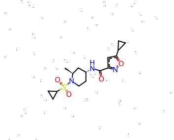 C[C@H]1C[C@H](NC(=O)c2cc(C3CC3)on2)CCN1S(=O)(=O)C1CC1